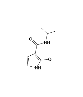 CC(C)NC(=O)c1cc[nH]c1[O]